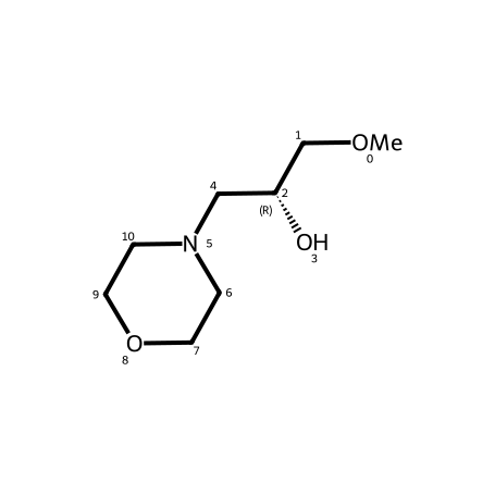 COC[C@H](O)CN1CCOCC1